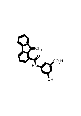 C=C1c2ccccc2-c2cccc(C(=O)Nc3cc(O)cc(C(=O)O)c3)c21